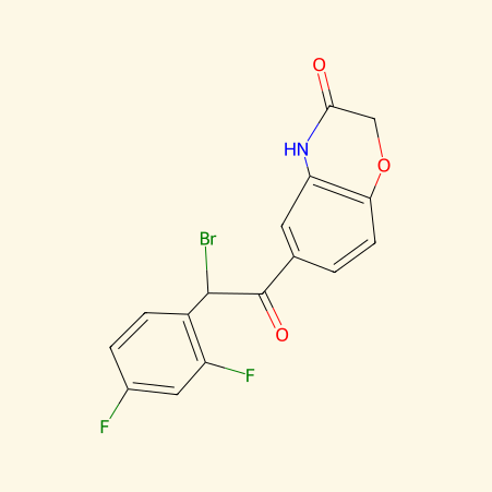 O=C1COc2ccc(C(=O)C(Br)c3ccc(F)cc3F)cc2N1